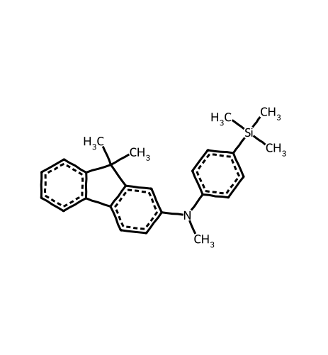 CN(c1ccc([Si](C)(C)C)cc1)c1ccc2c(c1)C(C)(C)c1ccccc1-2